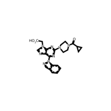 O=C(O)Cn1cnc2c(-n3ncc4ccccc43)nc(N3CCN(C(=O)C4CC4)CC3)nc21